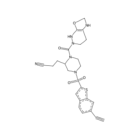 C#Cc1ccc2cc(S(=O)(=O)N3CCN(C(=O)N4CCC5=C(N4)OCN5)C(CCC#N)C3)sc2c1